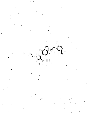 Nc1ncnc2c1c(-c1ccc3c(c1F)CCN3C(=O)Cc1cc(C(F)(F)F)ccc1F)nn2CCO